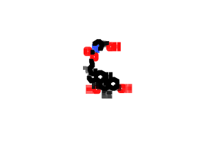 CC[C@@H]1C2C[C@H](O)CCC2(C)[C@H]2CCC3(C)[C@@H]([C@H](C)CCOC(=O)N4CC[C@@H](CO)C4)CC[C@H]3C2[C@@H]1O